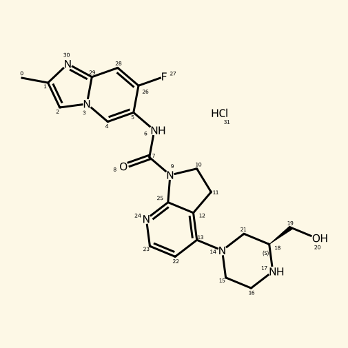 Cc1cn2cc(NC(=O)N3CCc4c(N5CCN[C@H](CO)C5)ccnc43)c(F)cc2n1.Cl